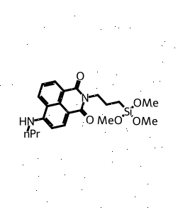 CCCNc1ccc2c3c(cccc13)C(=O)N(CCC[Si](OC)(OC)OC)C2=O